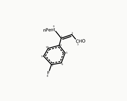 CCCCC/C(=C/C=O)c1ccc(F)cc1